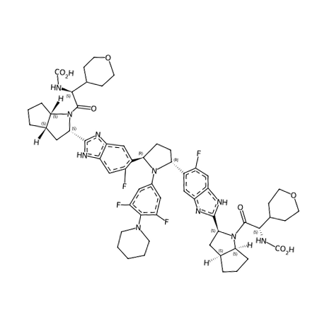 O=C(O)N[C@H](C(=O)N1[C@H](c2nc3cc([C@H]4CC[C@H](c5cc6nc([C@@H]7C[C@@H]8CCC[C@@H]8N7C(=O)[C@@H](NC(=O)O)C7CCOCC7)[nH]c6cc5F)N4c4cc(F)c(N5CCCCC5)c(F)c4)c(F)cc3[nH]2)C[C@@H]2CCC[C@@H]21)C1CCOCC1